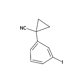 N#CC1(c2cccc(I)c2)CC1